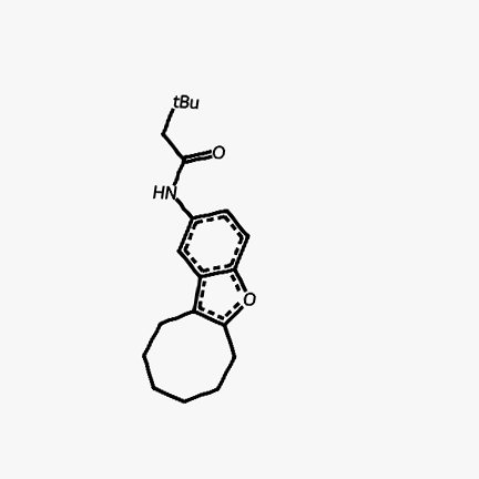 CC(C)(C)CC(=O)Nc1ccc2oc3c(c2c1)CCCCCC3